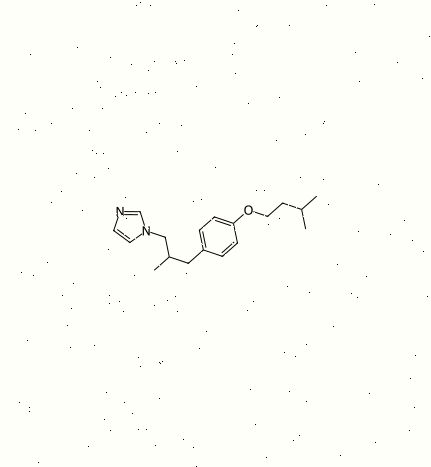 CC(C)CCOc1ccc(CC(C)Cn2ccnc2)cc1